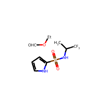 CC(NS(=O)(=O)c1ccc[nH]1)C(F)(F)F.CCOC=O